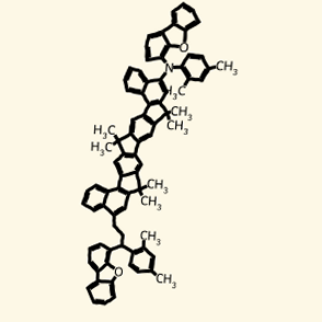 Cc1ccc(C(CCc2cc3c(c4ccccc24)-c2cc4c(cc2C3(C)C)-c2cc3c(cc2C4(C)C)-c2c(cc(N(c4ccc(C)cc4C)c4cccc5c4oc4ccccc45)c4ccccc24)C3(C)C)c2cccc3c2oc2ccccc23)c(C)c1